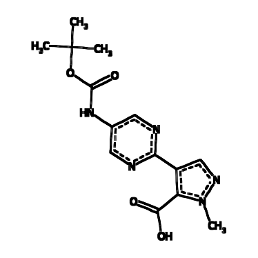 Cn1ncc(-c2ncc(NC(=O)OC(C)(C)C)cn2)c1C(=O)O